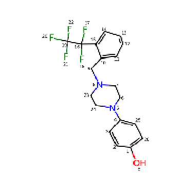 Oc1ccc(N2CCN(Cc3ccccc3C(F)(F)C(F)(F)F)CC2)cc1